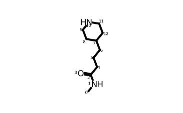 CNC(=O)CCCC1CCNCC1